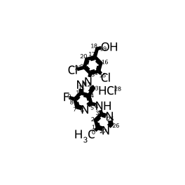 Cc1cc(Nc2ncc(F)c3nn(-c4c(Cl)cc(CO)cc4Cl)cc23)ncn1.Cl